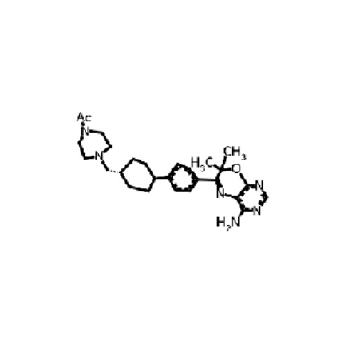 CC(=O)N1CCN(C[C@H]2CC[C@H](c3ccc(C4=Nc5c(N)ncnc5OC4(C)C)cc3)CC2)CC1